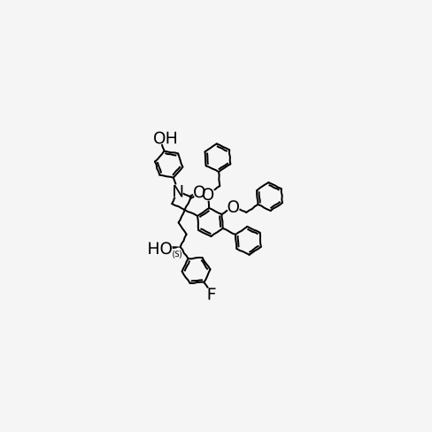 O=C1N(c2ccc(O)cc2)CC1(CC[C@H](O)c1ccc(F)cc1)c1ccc(-c2ccccc2)c(OCc2ccccc2)c1OCc1ccccc1